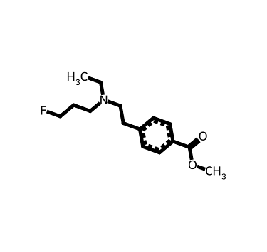 CCN(CCCF)CCc1ccc(C(=O)OC)cc1